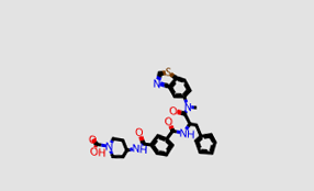 CN(C(=O)C(Cc1ccccc1)NC(=O)c1cccc(C(=O)NC2CCN(C(=O)O)CC2)c1)c1ccc2scnc2c1